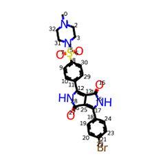 CN1CCN(S(=O)(=O)c2ccc(C3=C4C(=O)NC(c5ccc(Br)cc5)=C4C(=O)N3)cc2)CC1